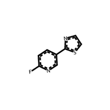 Fc1ccc(-c2nccs2)cn1